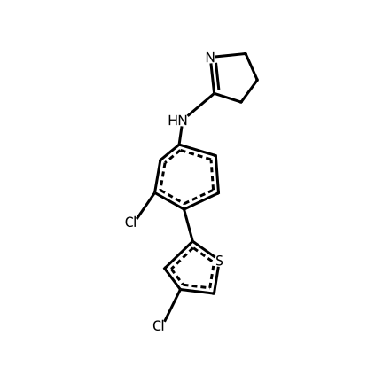 Clc1csc(-c2ccc(NC3=NCCC3)cc2Cl)c1